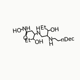 CCCCCCCCCCCCNC(CNC(CC(=O)NO)C(O)CC)C(O)CC